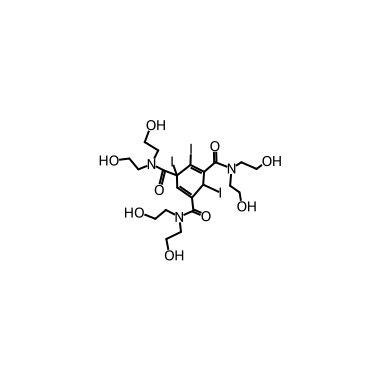 O=C(C1=CC(I)(C(=O)N(CCO)CCO)C(I)=C(C(=O)N(CCO)CCO)C1I)N(CCO)CCO